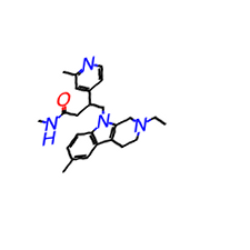 CCN1CCc2c(n(CC(CC(=O)NC)c3ccnc(C)c3)c3ccc(C)cc23)C1